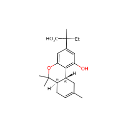 CCC(C)(C(=O)O)c1cc(O)c2c(c1)OC(C)(C)[C@@H]1CC=C(C)C[C@@H]21